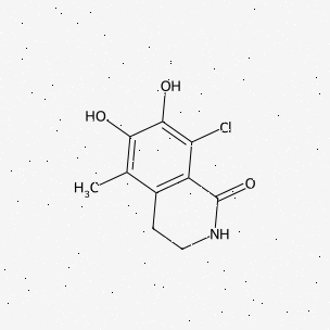 Cc1c(O)c(O)c(Cl)c2c1CCNC2=O